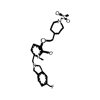 Cn1c(CN2Cc3ccc(F)cc3C2)ccc(OCC2CCN(S(C)(=O)=O)CC2)c1=O